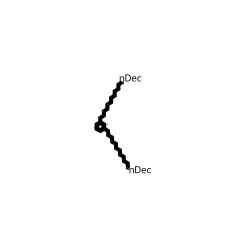 CCCCCCCCCCCCCCCCCCCCCCc1[c]c(CCCCCCCCCCCCCCCCCCCCCC)ccc1